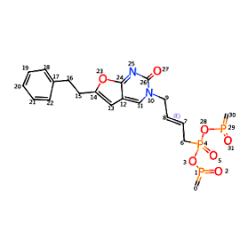 C=P(=O)OP(=O)(C/C=C/Cn1cc2cc(CCc3ccccc3)oc2nc1=O)OP(=C)=O